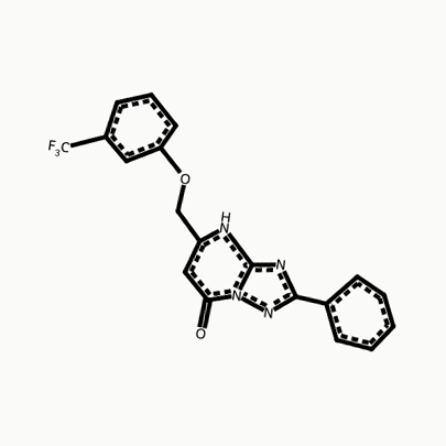 O=c1cc(COc2cccc(C(F)(F)F)c2)[nH]c2nc(-c3ccccc3)nn12